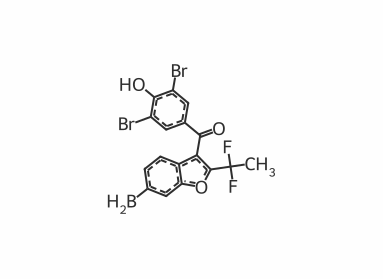 Bc1ccc2c(C(=O)c3cc(Br)c(O)c(Br)c3)c(C(C)(F)F)oc2c1